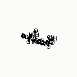 CC[C@@]1(O)C(=O)OCc2c1cc1n(c2=O)Cc2cc3cc(NC(=O)CNC(=O)[C@H](Cc4ccccc4)NC(=O)CNCC=O)c(F)cc3nc2-1